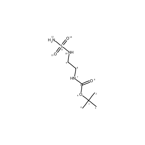 CC(C)(C)OC(=O)NCCNS(N)(=O)=O